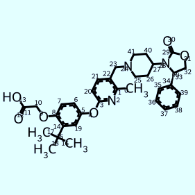 Cc1nc(Oc2ccc(OCC(=O)O)c(C(C)(C)C)c2)ccc1CN1CCC(N2C(=O)OC[C@H]2c2ccccc2)CC1